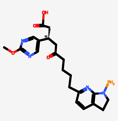 COc1ncc([C@H](CC(=O)O)CC(=O)CCCCc2ccc3c(n2)N(P)CC3)cn1